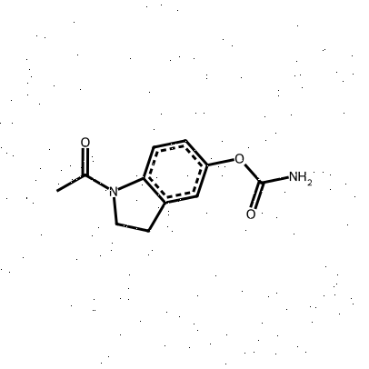 CC(=O)N1CCc2cc(OC(N)=O)ccc21